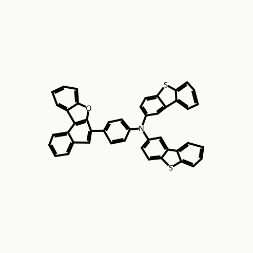 c1ccc2c(c1)cc(-c1ccc(N(c3ccc4sc5ccccc5c4c3)c3ccc4sc5ccccc5c4c3)cc1)c1oc3ccccc3c12